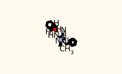 CC=C(/N=C(NCC1C[C@H]2CCC[C@@H](C1)[C@@H]2N)\C(C#N)=C/C)NCc1ccccc1